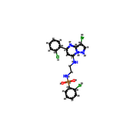 O=S(=O)(NCCNc1cc(-c2ccccc2Cl)nc2c(Br)cnn12)c1ccccc1Br